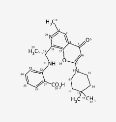 Cc1cc2c(=O)cc(N3CCC(C)(C)CC3)oc2c([C@@H](C)Nc2ccccc2C(=O)O)n1